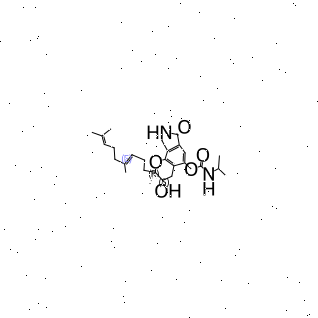 CC(C)=CCC/C(C)=C/CC[C@@]1(C)Oc2c(c(OC(=O)NC(C)C)cc3c2CNC3=O)C[C@@H]1O